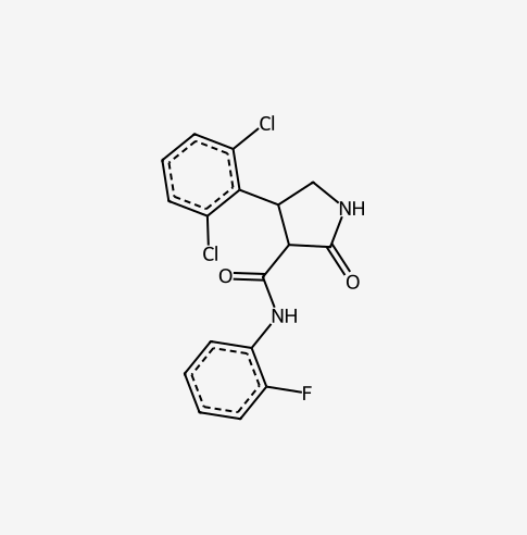 O=C1NCC(c2c(Cl)cccc2Cl)C1C(=O)Nc1ccccc1F